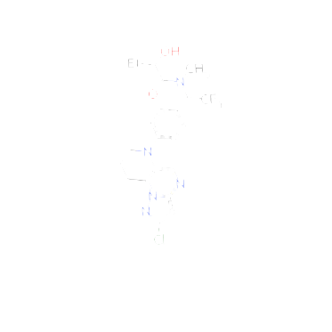 CCC(O)C(=O)N(C)[C@@H](c1ccc(N2CCCc3c2cnc2cc(Cl)nn32)cc1)C(F)(F)F